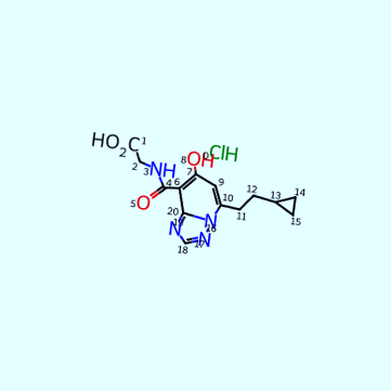 Cl.O=C(O)CNC(=O)c1c(O)cc(CCC2CC2)n2ncnc12